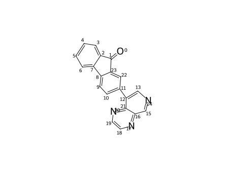 O=C1c2ccccc2-c2ccc(-c3cncc4nccnc34)cc21